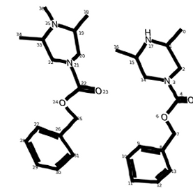 CC1CN(C(=O)OCc2ccccc2)CC(C)N1.CC1CN(C(=O)OCc2ccccc2)CC(C)N1C